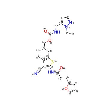 CCn1nccc1CNC(=O)OCC1CCc2c(sc(NC(=O)C=Cc3ccco3)c2C#N)C1